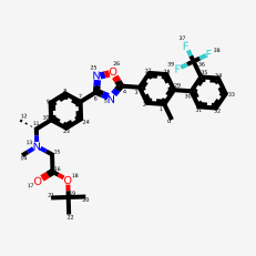 Cc1cc(-c2nc(-c3ccc([C@@H](C)N(C)CC(=O)OC(C)(C)C)cc3)no2)ccc1-c1ccccc1C(F)(F)F